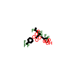 C=C(F)C(=O)OC(OCCC(F)(F)S(=O)(=O)O)(C(=O)Oc1ccc(C(F)(F)F)cc1)C(F)(F)F